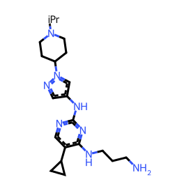 CC(C)N1CCC(n2cc(Nc3ncc(C4CC4)c(NCCCN)n3)cn2)CC1